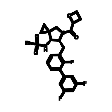 CCS(=O)(=O)N[C@@H]1[C@H](Cc2cccc(-c3cc(F)cc(F)c3)c2F)N(C(=O)C2CCO2)CC12CC2